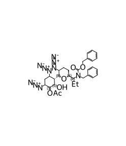 CC[C@H]([C@@H]1CCC(N=[N+]=[N-])[C@@H](C2C(N=[N+]=[N-])CC(N=[N+]=[N-])[C@H](OC(C)=O)[C@H]2O)O1)N(Cc1ccccc1)C(=O)OCc1ccccc1